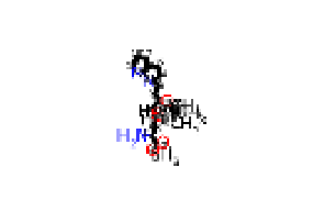 COC(=O)C(N)CCOCC(CCc1ccc2cccnc2n1)O[Si](C)(C)C(C)(C)C